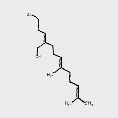 CC(=O)CC/C=C(\CO)CC/C=C(\C)CCC=C(C)C